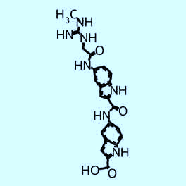 CNC(=N)NCC(=O)Nc1ccc2[nH]c(C(=O)Nc3ccc4[nH]c(C(=O)O)cc4c3)cc2c1